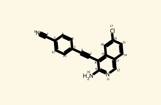 N#Cc1ccc(C#Cc2c(N)ncc3ccc(Cl)cc23)cc1